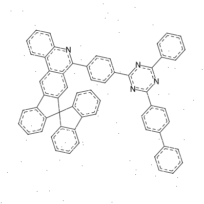 c1ccc(-c2ccc(-c3nc(-c4ccccc4)nc(-c4ccc(-c5nc6ccccc6c6cc7c(cc56)C5(c6ccccc6-c6ccccc65)c5ccccc5-7)cc4)n3)cc2)cc1